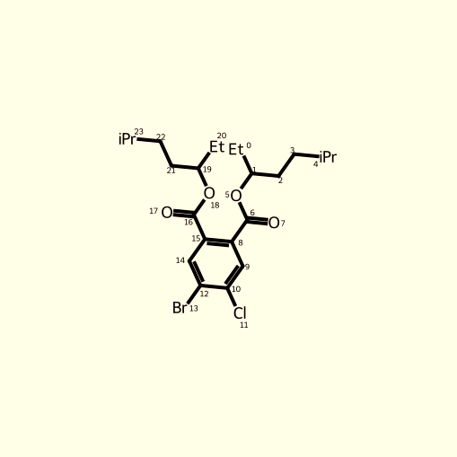 CCC(CCC(C)C)OC(=O)c1cc(Cl)c(Br)cc1C(=O)OC(CC)CCC(C)C